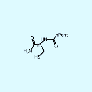 CCCCCC(=O)N[C@@H](CS)C(N)=O